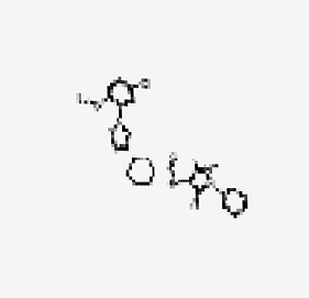 CCOc1ccc(Cl)cc1-n1cc([C@H]2CCC[C@@H](C(=O)Nc3c(C)n(C)n(-c4ccccc4)c3=O)C2)nn1